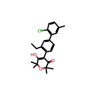 CCc1cc(-c2cc(C)ccc2Cl)ccc1C1=C(O)C(C)(C)OC(C)(C)C1=O